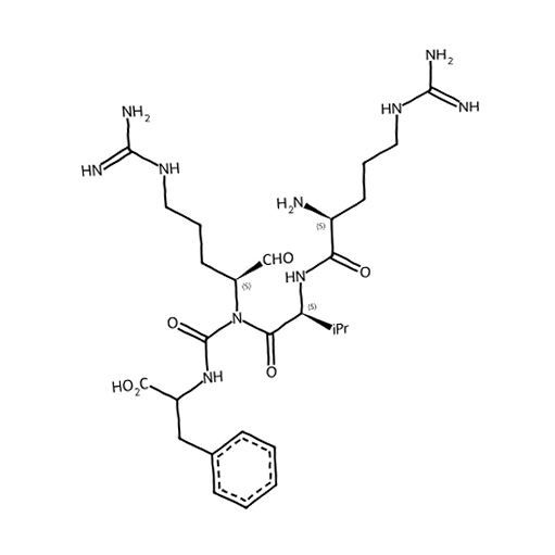 CC(C)[C@H](NC(=O)[C@@H](N)CCCNC(=N)N)C(=O)N(C(=O)NC(Cc1ccccc1)C(=O)O)[C@H](C=O)CCCNC(=N)N